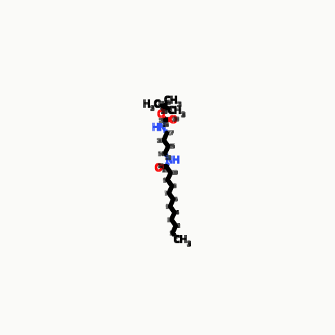 CCCCCCCCCCCC(=O)NCCCCNC(=O)OC(C)(C)C